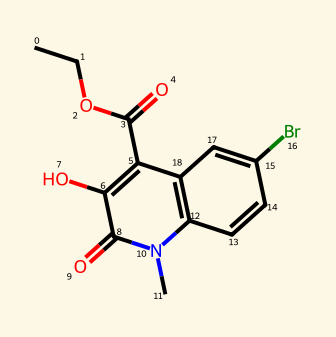 CCOC(=O)c1c(O)c(=O)n(C)c2ccc(Br)cc12